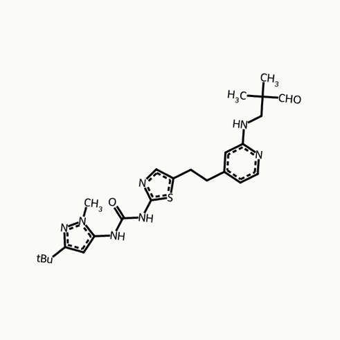 Cn1nc(C(C)(C)C)cc1NC(=O)Nc1ncc(CCc2ccnc(NCC(C)(C)C=O)c2)s1